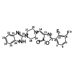 O=C1OC(c2cccc(F)c2F)=NC1=CN1CCN(c2nc3ccccc3[nH]2)CC1